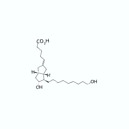 O=C(O)CCC/C=C1\C[C@H]2C[C@@H](O)[C@H](CCCCCCCCCO)[C@H]2C1